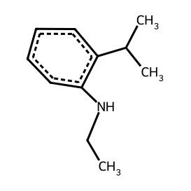 CCNc1ccccc1C(C)C